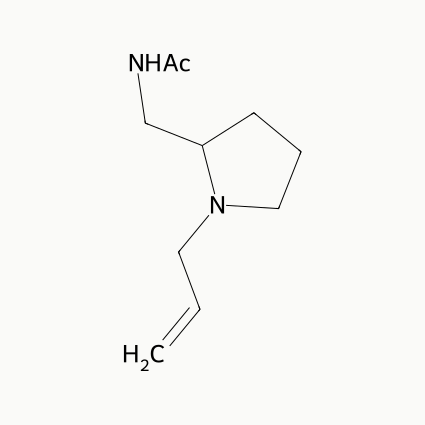 C=CCN1CCCC1CNC(C)=O